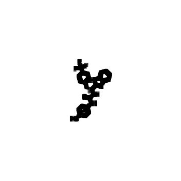 O=C(N[C@H](Cc1ccc(C(F)(F)F)cc1)c1nc2ccccc2[nH]1)NC12CCC(O)(CC1)CC2